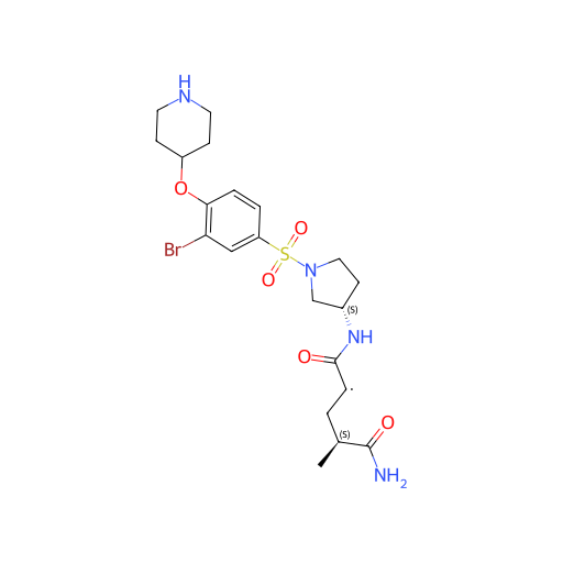 C[C@@H](C[CH]C(=O)N[C@H]1CCN(S(=O)(=O)c2ccc(OC3CCNCC3)c(Br)c2)C1)C(N)=O